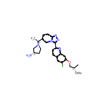 CO[C@@H](C)COc1cc2nc(-c3nnc4ccc([C@@H](N5CC[C@H](N)C5)C(F)(F)F)cn34)ccc2cc1F